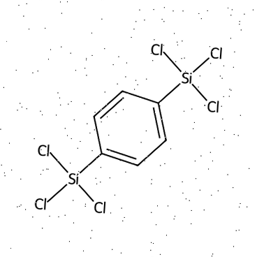 Cl[Si](Cl)(Cl)c1ccc([Si](Cl)(Cl)Cl)cc1